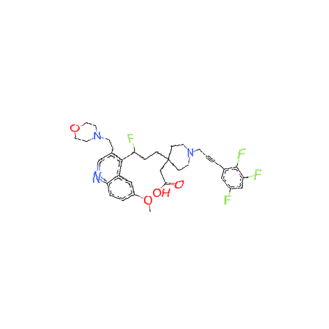 COc1ccc2ncc(CN3CCOCC3)c(C(F)CCC3(CC(=O)O)CCN(CC#Cc4cc(F)cc(F)c4F)CC3)c2c1